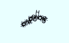 O=C(Nc1ccc([N+](=O)[O-])cc1)Oc1ccc2c(c1)CCN2Cc1ccccc1